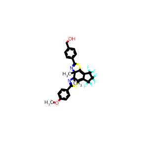 COc1ccc(C2=NC3(C)C(=C4C(=C5SC(c6ccc(CO)cc6)=NC53C)C(F)(F)C(F)(F)C4(F)F)S2)cc1